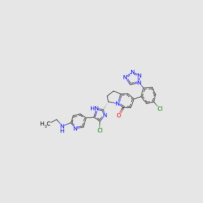 CCNc1ccc(-c2[nH]c([C@@H]3CCc4cc(-c5cc(Cl)ccc5-n5cnnn5)cc(=O)n43)nc2Cl)cn1